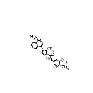 Cc1ncc(NC(=O)c2cnn(-c3cnc(N)c4ccccc34)c2C(F)(F)F)cc1C(F)(F)F